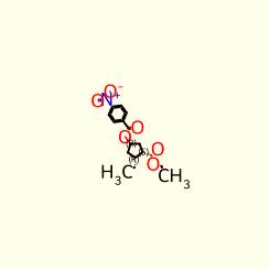 CCOC(=O)[C@H]1C[C@H](OC(=O)c2ccc([N+](=O)[O-])cc2)C[C@H]1CC